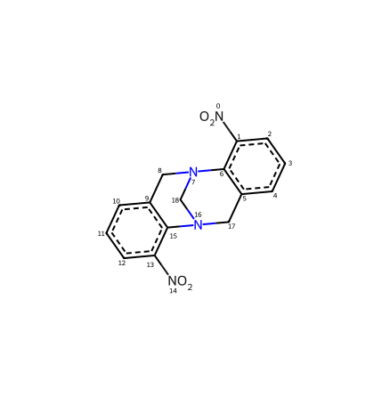 O=[N+]([O-])c1cccc2c1N1Cc3cccc([N+](=O)[O-])c3N(C2)C1